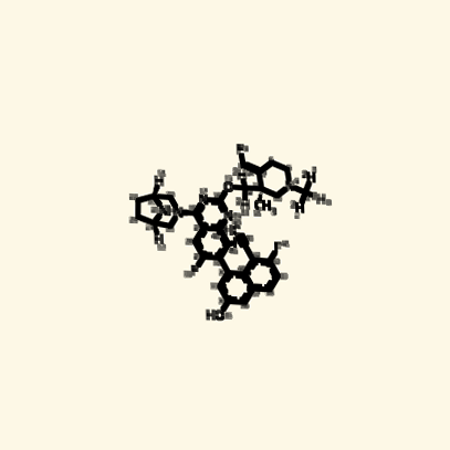 [2H]C([2H])([2H])N1CC/C(=C\F)[C@](C)(C([2H])([2H])Oc2nc(N3C[C@H]4CC[C@@H](C3)N4)c3cc(F)c(-c4cc(O)cc5ccc(F)c(C#C)c45)c(F)c3n2)C1